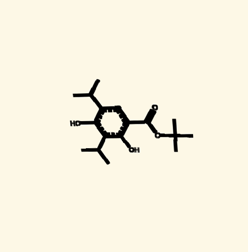 CC(C)c1cc(C(=O)OC(C)(C)C)c(O)c(C(C)C)c1O